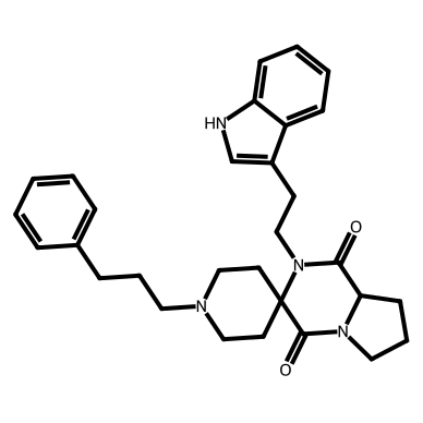 O=C1C2CCCN2C(=O)C2(CCN(CCCc3ccccc3)CC2)N1CCc1c[nH]c2ccccc12